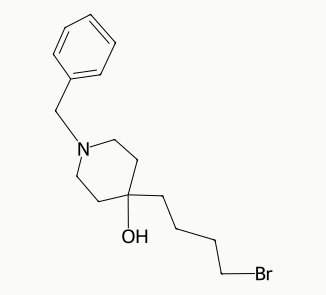 OC1(CCCCBr)CCN(Cc2ccccc2)CC1